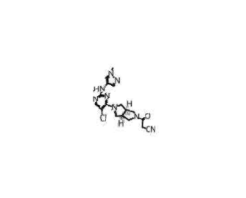 Cn1cc(Nc2ncc(Cl)c(N3C[C@H]4CN(C(=O)CC#N)C[C@H]4C3)n2)cn1